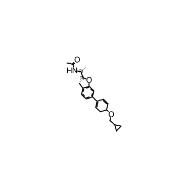 CC(=O)N[C@H](C)[C@H]1Cc2ccc(C3=CCC(OCC4CC4)C=C3)cc2O1